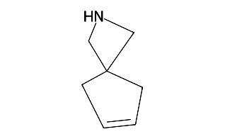 C1=CCC2(C1)CNC2